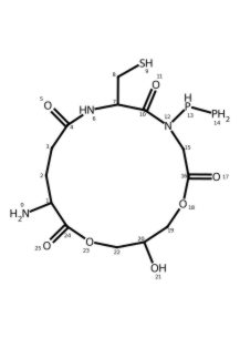 NC1CCC(=O)NC(CS)C(=O)N(PP)CC(=O)OCC(O)COC1=O